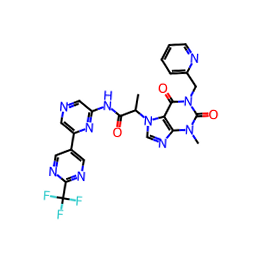 CC(C(=O)Nc1cncc(-c2cnc(C(F)(F)F)nc2)n1)n1cnc2c1c(=O)n(Cc1ccccn1)c(=O)n2C